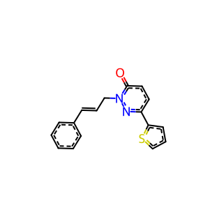 O=c1ccc(-c2cccs2)nn1CC=Cc1ccccc1